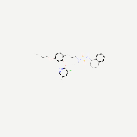 COCCOc1ccc(CCCN(C(=O)O)S(=O)(=O)NC2CCCc3ccccc32)c(Oc2ncc(C(F)(F)F)cc2Cl)c1